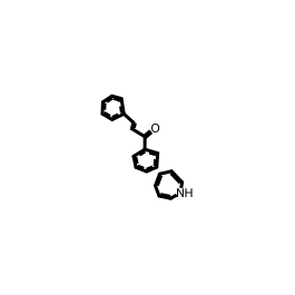 C1=CC=CNC=C1.O=C(C=Cc1ccccc1)c1ccccc1